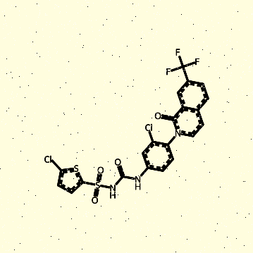 O=C(Nc1ccc(-n2ccc3ccc(C(F)(F)F)cc3c2=O)c(Cl)c1)NS(=O)(=O)c1ccc(Cl)s1